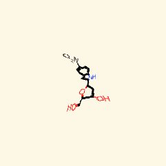 O=[N+]([O-])c1ccc2[nH]c(C3C[C@H](O)[C@@H](CO)O3)cc2c1